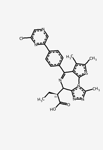 CC[C@H](C(=O)O)C1N=C(c2ccc(-c3cncc(Cl)n3)cc2)c2c(sc(C)c2C)-n2c(C)nnc21